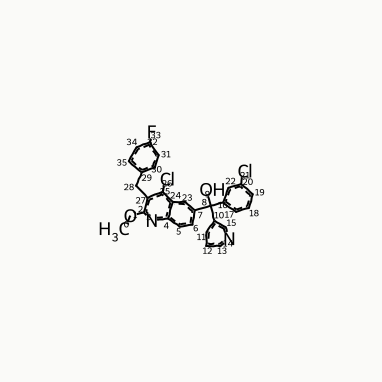 COc1nc2ccc(C(O)(c3cccnc3)c3cccc(Cl)c3)cc2c(Cl)c1Cc1ccc(F)cc1